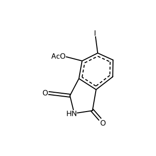 CC(=O)Oc1c(I)ccc2c1C(=O)NC2=O